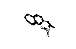 CC(=Cc1ccc2ccccc2c1)[N+](=O)[O-]